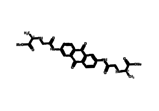 COC(=O)[C@@H](C)NCC(=O)Nc1ccc2c(c1)C(=O)c1ccc(NC(=O)CN[C@H](C)C(=O)OC)cc1C2=O